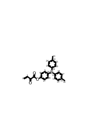 C=CC(=O)C(=O)Oc1ccc(N(c2ccc(C)cc2)c2ccc(C)cc2)cc1